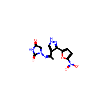 CC(=NN1CC(=O)NC1=O)c1c[nH]nc1-c1ccc([N+](=O)[O-])o1